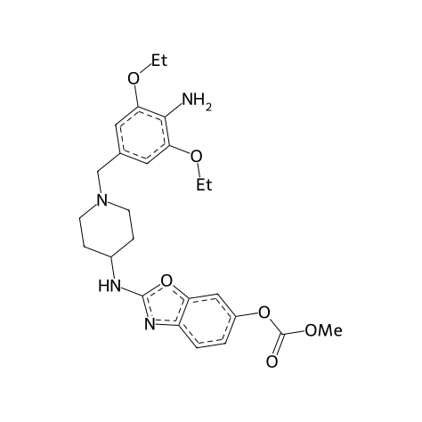 CCOc1cc(CN2CCC(Nc3nc4ccc(OC(=O)OC)cc4o3)CC2)cc(OCC)c1N